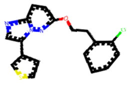 Clc1ccccc1CCOc1ccc2ncc(-c3ccsc3)n2n1